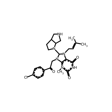 CC(C)=CCN1c2c(n(C)c(=O)[nH]c2=O)N(CC(=O)c2ccc(Cl)cc2)C1N1CCC2CNCC21